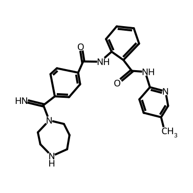 Cc1ccc(NC(=O)c2ccccc2NC(=O)c2ccc(C(=N)N3CCCNCC3)cc2)nc1